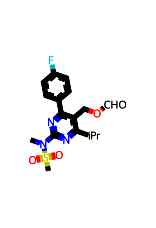 CC(C)c1nc(N(C)S(C)(=O)=O)nc(-c2ccc(F)cc2)c1COC=O